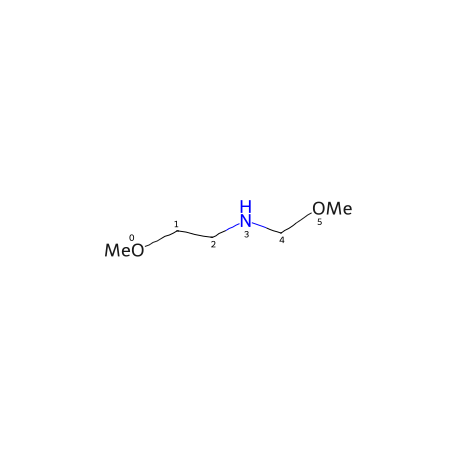 COCCNCOC